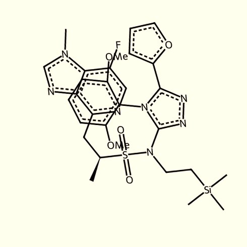 COc1cccc(OC)c1-n1c(-c2ccco2)nnc1N(CC[Si](C)(C)C)S(=O)(=O)[C@@H](C)Cc1ncc(F)c2c1ncn2C